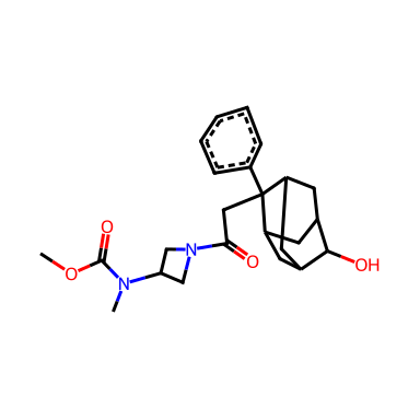 COC(=O)N(C)C1CN(C(=O)CC2(c3ccccc3)C3CC4CC2CC(C3)C4O)C1